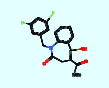 CNC(=O)C1=C(O)c2ccccc2N(Cc2cc(F)cc(F)c2)C(=O)C1